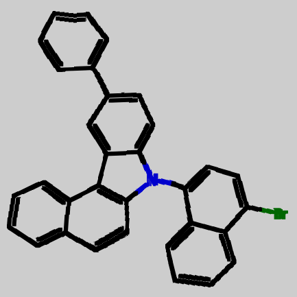 Brc1ccc(-n2c3ccc(-c4ccccc4)cc3c3c4ccccc4ccc32)c2ccccc12